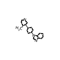 Cc1ccncc1-c1ccc(-n2cnc3ccccc32)cc1